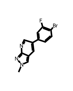 Cn1cc2cc(-c3ccc(Br)c(F)c3)cnc2n1